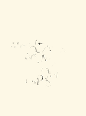 COc1ncc(C=O)c(N2CCC(NC(=O)OC(C)(C)C)CC2)c1Br